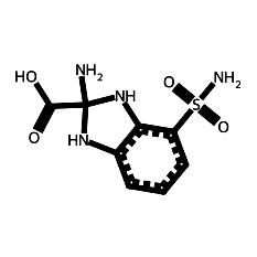 NC1(C(=O)O)Nc2cccc(S(N)(=O)=O)c2N1